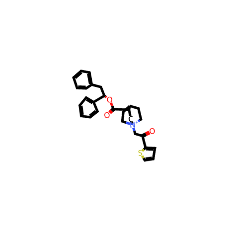 O=C(C[N+]12CCC(CC1)C(C(=O)OC(Cc1ccccc1)c1ccccc1)C2)c1cccs1